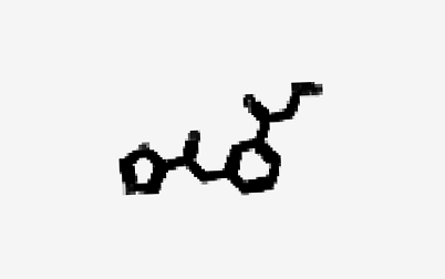 CNCC(=O)c1cccc(CC(=O)c2cncs2)c1